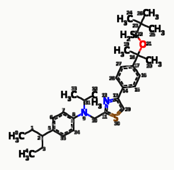 CCC(CC)c1ccc(N(Cc2nc(-c3ccc(C(C)(C)O[SiH2]C(C)(C)C)cc3)cs2)C(C)C)cc1